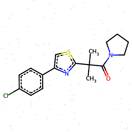 CC(C)(C(=O)N1CCCC1)c1nc(-c2ccc(Cl)cc2)cs1